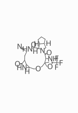 CC1(C)COC[C@@H]2CC(C[C@@H](C#N)NC(=O)[C@@H]3[C@H]4CCC[C@H]4CN3C(=O)[C@H]1NC(=O)C(F)(F)F)C(=O)N2